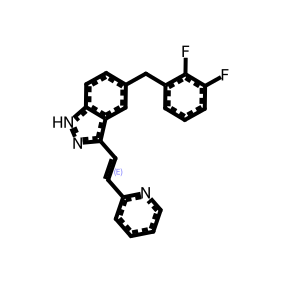 Fc1cccc(Cc2ccc3[nH]nc(/C=C/c4ccccn4)c3c2)c1F